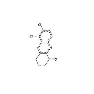 O=C1CCCc2cc3c(Cl)c(Cl)ccc3nc21